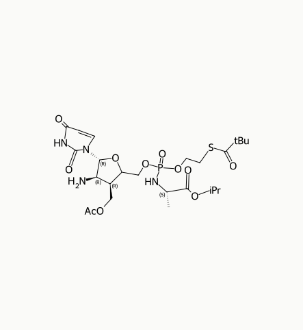 CC(=O)OC[C@@H]1C(COP(=O)(N[C@@H](C)C(=O)OC(C)C)OCCSC(=O)C(C)(C)C)O[C@@H](n2ccc(=O)[nH]c2=O)[C@@H]1N